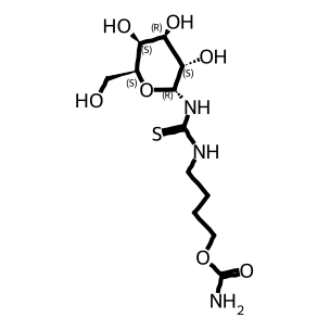 NC(=O)OCCCCNC(=S)N[C@@H]1O[C@@H](CO)[C@@H](O)[C@@H](O)[C@@H]1O